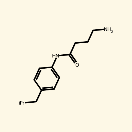 CC(C)Cc1ccc(NC(=O)CCCN)cc1